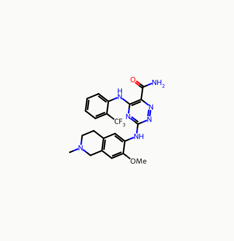 COc1cc2c(cc1Nc1nnc(C(N)=O)c(Nc3ccccc3C(F)(F)F)n1)CCN(C)C2